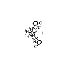 [2H]C(=CC1=[N+](C)c2c(Cl)cccc2C1(C)C)C([2H])=C([2H])C([2H])=C([2H])C=C1N(C)c2c(Cl)cccc2C1(C)C.[I-]